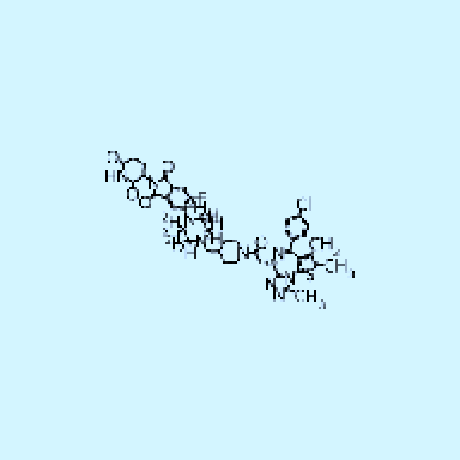 [2H]C1([2H])N(CC2CCN(C(=O)C[C@@H]3N=C(c4ccc(Cl)cc4)c4c(sc(C)c4C)-n4c(C)nnc43)CC2)C([2H])([2H])C([2H])([2H])N(c2cc3c(cc2F)C(=O)N(C2CCC(=O)NC2=O)C3=O)C1([2H])[2H]